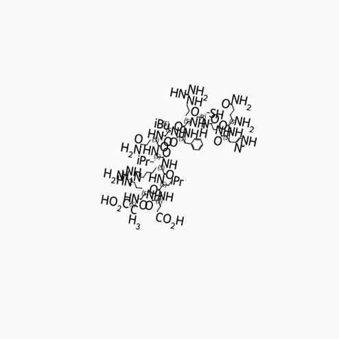 CC[C@H](C)[C@H](NC(=O)[C@H](Cc1ccccc1)NC(=O)[C@H](CCCNC(=N)N)NC(=O)[C@H](CS)NC(=O)CNC(=O)[C@H](Cc1c[nH]cn1)NC(=O)[C@@H](N)CCC(N)=O)C(=O)N[C@@H](CCC(N)=O)C(=O)N[C@@H](CC(C)C)C(=O)N[C@@H](CCCCN)C(=O)N[C@@H](CC(C)C)C(=O)N[C@@H](CCC(=O)O)C(=O)N[C@@H](CCCNC(=N)N)C(=O)N[C@@H](C)C(=O)O